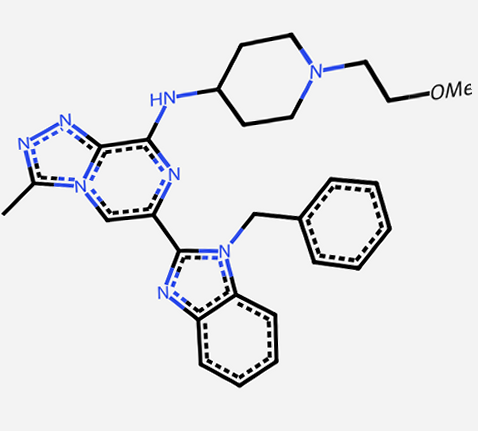 COCCN1CCC(Nc2nc(-c3nc4ccccc4n3Cc3ccccc3)cn3c(C)nnc23)CC1